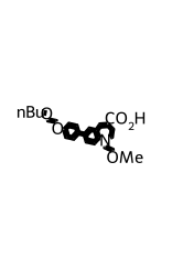 CCCCOCCOc1ccc(-c2ccc3c(c2)C=C(C(=O)O)CCN3CCOC)cc1